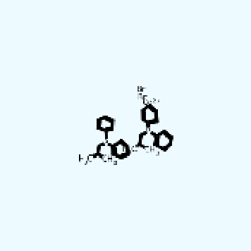 CC(C)CP(c1ccccc1)c1ccccc1.CC(C)CP(c1ccccc1)c1ccccc1.[Br-].[Br-].[Co+2]